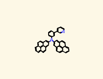 c1cncc(-c2cccc(N(c3cc4ccc5cccc6ccc(c3)c4c56)c3cc4ccc5cccc6ccc(c3)c4c56)c2)c1